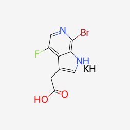 O=C(O)Cc1c[nH]c2c(Br)ncc(F)c12.[KH]